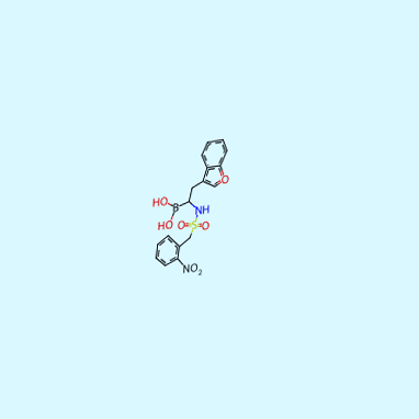 O=[N+]([O-])c1ccccc1CS(=O)(=O)NC(Cc1coc2ccccc12)B(O)O